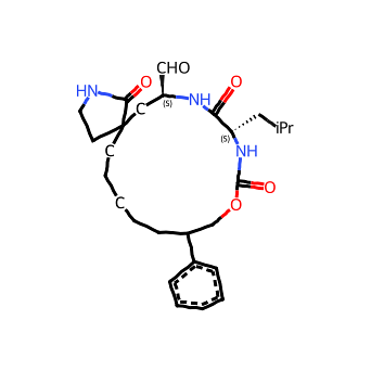 CC(C)C[C@@H]1NC(=O)OCC(c2ccccc2)CCCCCC2(CCNC2=O)C[C@@H](C=O)NC1=O